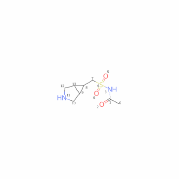 CC(=O)NS(=O)(=O)CC1C2CNCC21